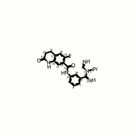 CC(C)N(C=N)C(=N)c1cccc(NC(=O)c2cc3c(cc2F)CCC(=O)N3)c1